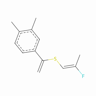 C=C(S/C=C(\C)F)c1ccc(C)c(C)c1